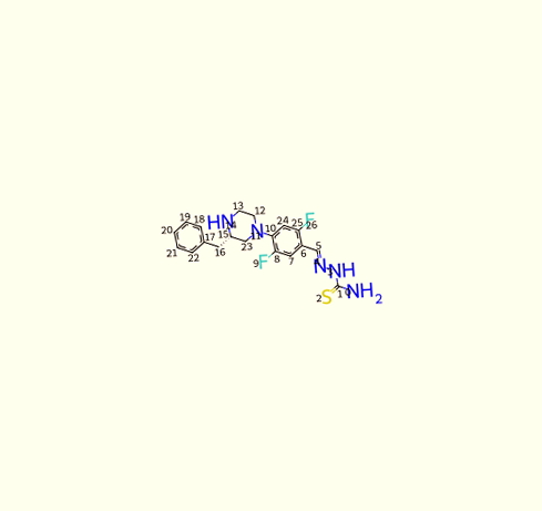 NC(=S)NN=Cc1cc(F)c(N2CCN[C@@H](Cc3ccccc3)C2)cc1F